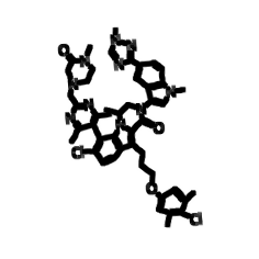 Cc1cc(OCCCc2c3n(c4c(-c5c(C)nc(CN6CCN(C)C(=O)C6)nc5C)c(Cl)ccc24)C(C)CN(c2cn(C)c4ccc(-c5ncn(C)n5)cc24)C3=O)cc(C)c1Cl